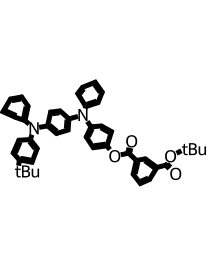 CC(C)(C)OC(=O)c1cccc(C(=O)Oc2ccc(N(c3ccccc3)c3ccc(N(c4ccccc4)c4ccc(C(C)(C)C)cc4)cc3)cc2)c1